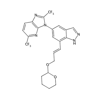 FC(F)(F)c1ccc2nc(C(F)(F)F)n(-c3cc(C=CCOC4CCCCO4)c4[nH]ncc4c3)c2n1